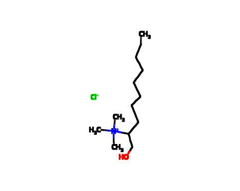 CCCCCCCCC(CO)[N+](C)(C)C.[Cl-]